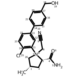 C[C@H]1C[C@@H](C(N)=O)[N+](CC#N)(c2cc(-c3ccc(CO)cc3)ccc2Cl)C1